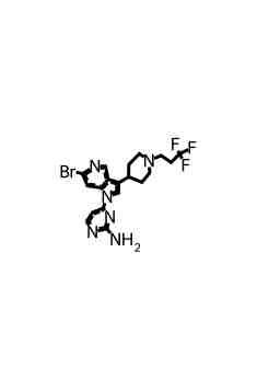 Nc1nccc(-n2cc(C3CCN(CCC(F)(F)F)CC3)c3cnc(Br)cc32)n1